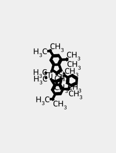 CC1=C2c3c(C(C)C)cc(C(C)C)cc3[CH]1[Ti]([CH3])([CH3])[CH]1C(C)=C(c3c(C(C)C)cc(C(C)C)cc31)[Si]2(C)c1ccccc1